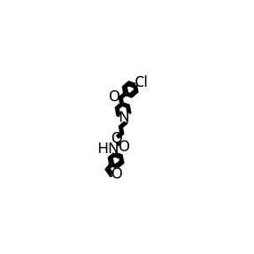 O=C(Nc1ccc2occc2c1)OCCCN1CCC(C(=O)c2ccc(Cl)cc2)CC1